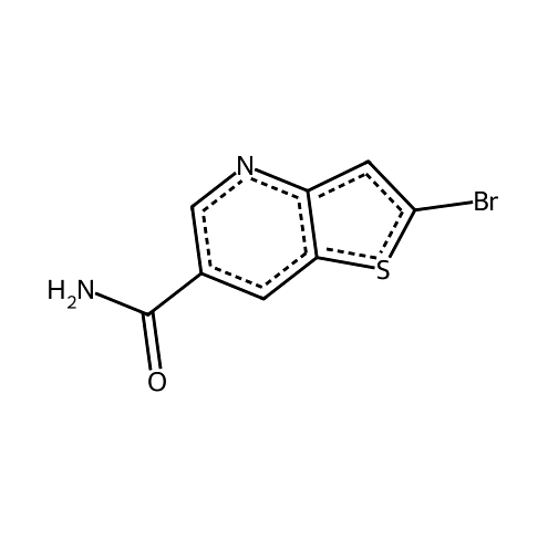 NC(=O)c1cnc2cc(Br)sc2c1